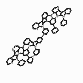 c1ccc(-n2c3ccc(-c4cccc(-n5c6ncccc6c6c7cccc8c7n(c65)-c5cc(-c6ccccn6)cc6c5B8c5ccnc7c8c9ccccc9n(-c9ccccc9)c8n-6c57)c4)cc3c3c4cccc5c4n(c32)-c2cc(-c3ccccn3)cc3c2B5c2ccnc4c5c6cccnc6n(-c6ccccc6)c5n-3c24)cc1